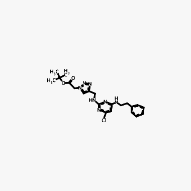 CC(C)(C)OC(=O)Cn1cc(CNc2nc(Cl)cc(NCCc3ccccc3)n2)nn1